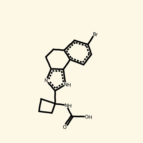 O=C(O)NC1(c2nc3c([nH]2)-c2ccc(Br)cc2CC3)CCC1